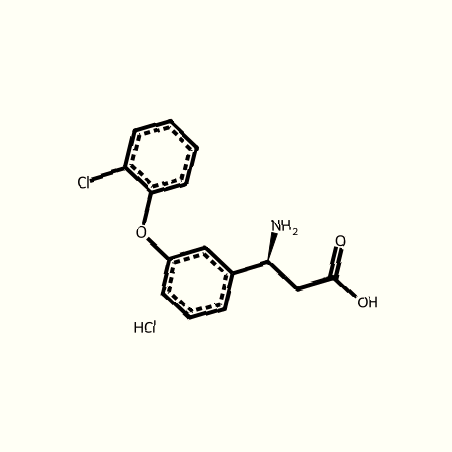 Cl.N[C@@H](CC(=O)O)c1cccc(Oc2ccccc2Cl)c1